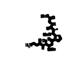 CC[C@H](C)[C@@H]([C@@H](CC(=O)N1CCC[C@H]1[C@H](OC)[C@@H](C)C(=O)NCC(=O)OC)OC)N(C)C(=O)CCN